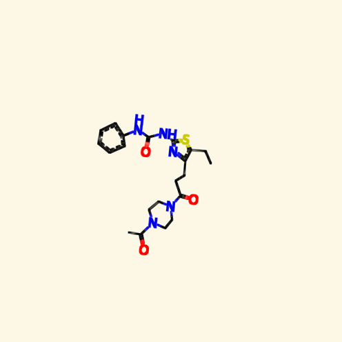 CCc1sc(NC(=O)Nc2ccccc2)nc1CCC(=O)N1CCN(C(C)=O)CC1